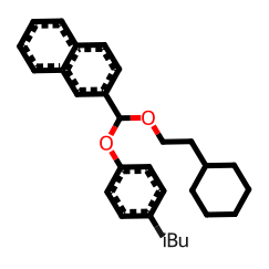 CCC(C)c1ccc(OC(OCCC2CCCCC2)c2ccc3ccccc3c2)cc1